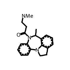 CNCCC(=O)N1c2ccccc2N2CCc3cccc(c32)C1C